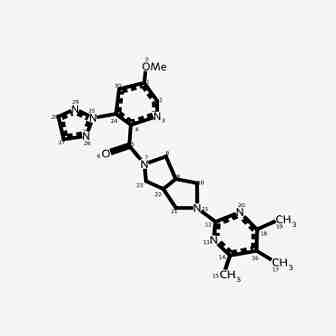 COc1cnc(C(=O)N2CC3CN(c4nc(C)c(C)c(C)n4)CC3C2)c(-n2nccn2)c1